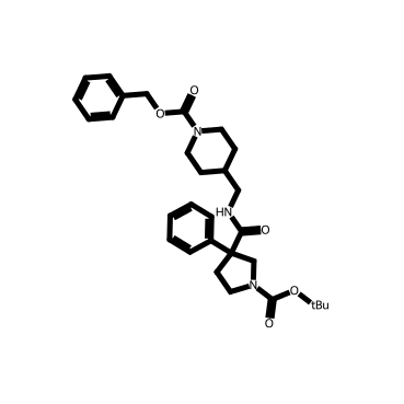 CC(C)(C)OC(=O)N1CCC(C(=O)NCC2CCN(C(=O)OCc3ccccc3)CC2)(c2ccccc2)C1